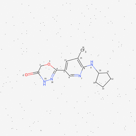 O=C1COC(c2cnc(NC3CCCC3)c(C(F)(F)F)c2)=NN1